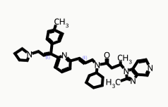 Cc1ccc(/C(=C\CN2CCCC2)c2cccc(/C=C/CN(C(=O)CC(C)n3c(C)nc4cnccc43)C3CCCCC3)n2)cc1